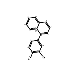 Clc1ccc(-c2cccc3ccccc23)cc1Br